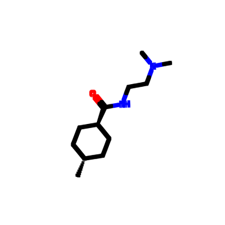 CN(C)CCNC(=O)[C@H]1CC[C@H](C)CC1